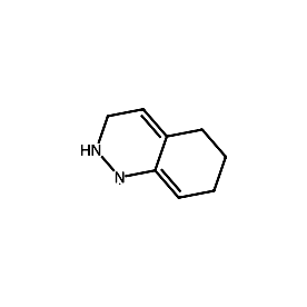 C1=C2CCCC=C2[N]NC1